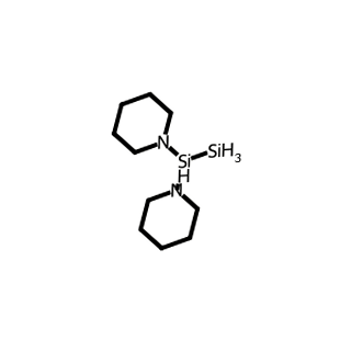 [SiH3][SiH](N1CCCCC1)N1CCCCC1